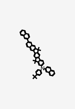 CC(C)(C)c1ccc(N(c2ccc3c(c2)C(C)(C)c2cc4c(cc2-3)C(C)(C)c2cc3cc(-c5ccc6ccccc6c5)ccc3cc2-4)c2ccc3ccccc3c2)cc1